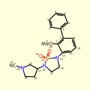 COc1c(-c2ccccc2)cccc1N1CCN(C2CCN(C#N)C2)S1(=O)=O